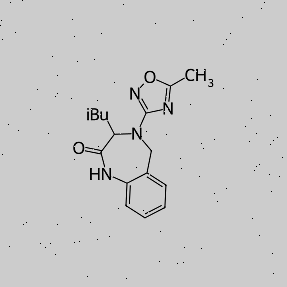 CCC(C)C1C(=O)Nc2ccccc2CN1c1noc(C)n1